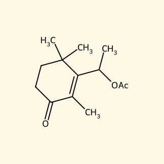 CC(=O)OC(C)C1=C(C)C(=O)CCC1(C)C